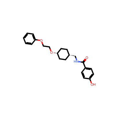 O=C(NC[C@H]1CC[C@@H](OCCOc2ccccc2)CC1)c1ccc(O)cc1